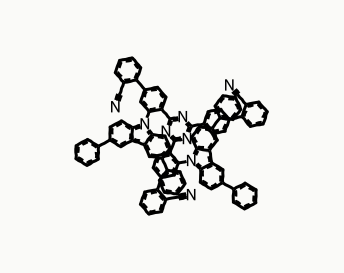 N#Cc1ccccc1-c1ccc(-c2nc(-c3ccc(-c4ccccc4C#N)cc3-n3c4ccc(-c5ccccc5)cc4c4cc(-c5ccccc5)ccc43)nc(-c3ccc(-c4ccccc4C#N)cc3-n3c4ccc(-c5ccccc5)cc4c4cc(-c5ccccc5)ccc43)n2)cc1